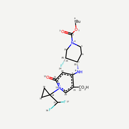 CC(C)(C)OC(=O)N1CC[C@H](Nc2cc(=O)n(C3(C(F)F)CC3)cc2C(=O)O)[C@H](F)C1